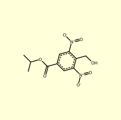 CC(C)OC(=O)c1cc([N+](=O)[O-])c(CO)c([N+](=O)[O-])c1